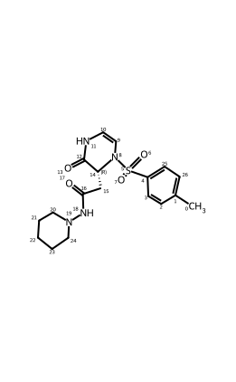 Cc1ccc(S(=O)(=O)N2C=CNC(=O)[C@H]2CC(=O)NN2CCCCC2)cc1